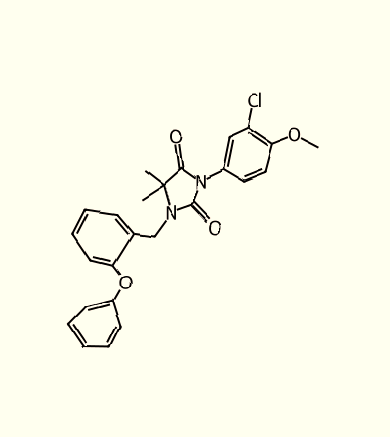 COc1ccc(N2C(=O)N(Cc3ccccc3Oc3ccccc3)C(C)(C)C2=O)cc1Cl